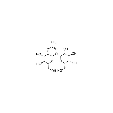 CC(=O)O[C@H]1[C@@H](O[C@H]2O[C@H](CO)[C@@H](O)[C@H](O)[C@H]2O)O[C@H](CO)[C@@H](O)[C@@H]1O